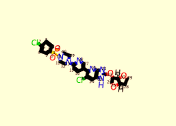 O=S(=O)(c1ccc(Cl)cc1)N1CCN(c2ccc(-c3nc4nc(OC5CO[C@@H]6CCO[C@H]56)[nH]c4cc3Cl)cn2)CC1